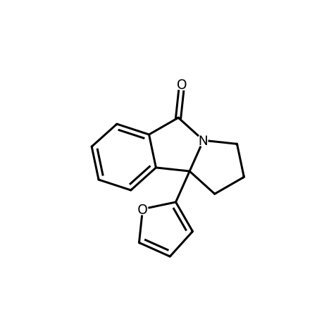 O=C1c2ccccc2C2(c3ccco3)CCCN12